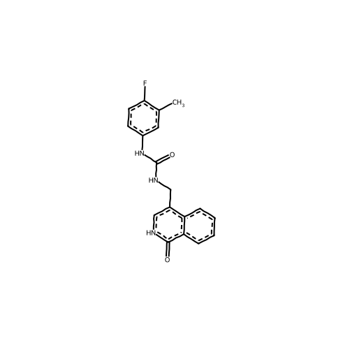 Cc1cc(NC(=O)NCc2c[nH]c(=O)c3ccccc23)ccc1F